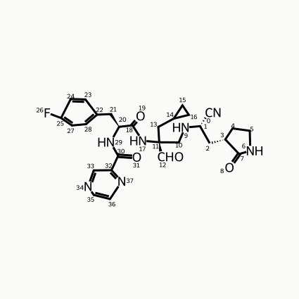 N#C[C@H](C[C@@H]1CCNC1=O)NC[C@@](C=O)(CC1CC1)NC(=O)[C@H](Cc1ccc(F)cc1)NC(=O)c1cnccn1